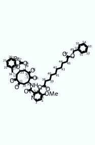 COc1ccnc(C(=O)N[C@H]2CC(=O)C(=O)[C@H](Cc3ccccc3)[C@H](OC(=O)C(C)C)[C@H](C)C(=O)C2=O)c1OC(=O)CCCCCCCCC(=O)OCc1ccccc1